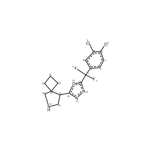 FC(F)(c1ccc(Cl)c(Cl)c1)c1nnc(C2CNCC23CCC3)o1